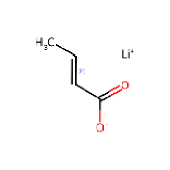 C/C=C/C(=O)[O-].[Li+]